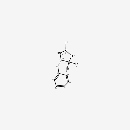 CCC1(CC)O[C@@H](C)N[C@H]1Cc1ccccc1